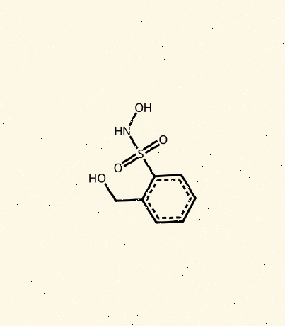 O=S(=O)(NO)c1ccccc1CO